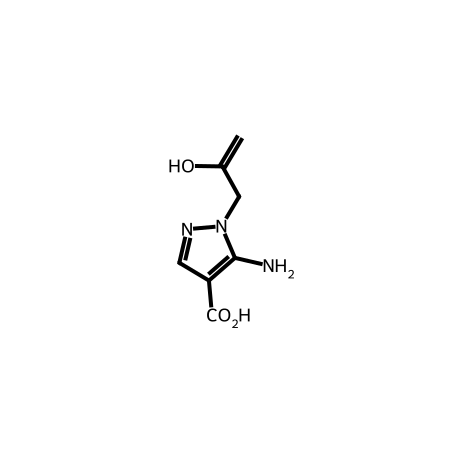 C=C(O)Cn1ncc(C(=O)O)c1N